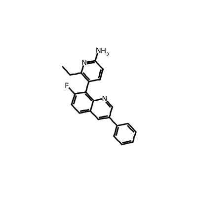 CCc1nc(N)ccc1-c1c(F)ccc2cc(-c3ccccc3)cnc12